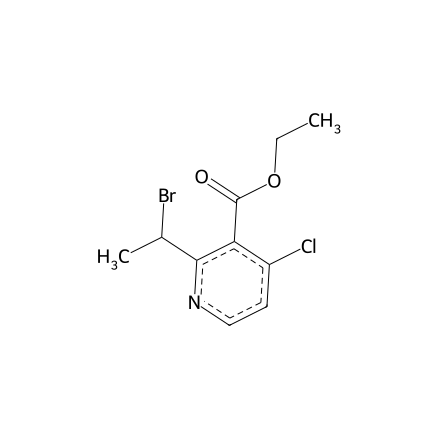 CCOC(=O)c1c(Cl)ccnc1C(C)Br